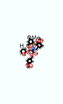 COc1cc(C)c(S(=O)(=O)N(Cc2ccc3c(c2)OCO3)[C@H](COC2CCCCO2)C(=O)OCc2ccc3c(c2)OCO3)c(C)c1